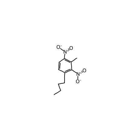 CCCCc1ccc([N+](=O)[O-])c(C)c1[N+](=O)[O-]